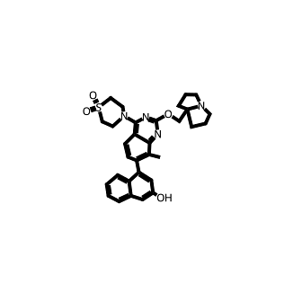 Cc1c(-c2cc(O)cc3ccccc23)ccc2c(N3CCS(=O)(=O)CC3)nc(OCC34CCCN3CCC4)nc12